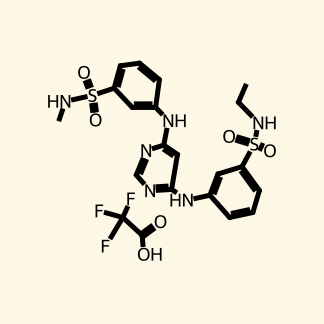 CCNS(=O)(=O)c1cccc(Nc2cc(Nc3cccc(S(=O)(=O)NC)c3)ncn2)c1.O=C(O)C(F)(F)F